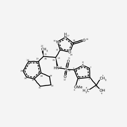 COc1c(C(C)(C)O)csc1S(=O)(=O)N[C@H](c1n[nH]c(=O)o1)[C@H](C)c1cccc2c1CCC2